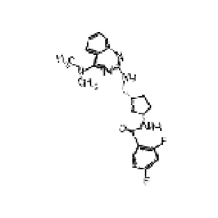 CN(C)c1nc(NC[C@@H]2CC[C@H](NC(=O)c3ccc(F)cc3F)C2)nc2ccccc12